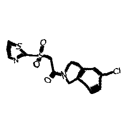 O=C(CS(=O)(=O)c1nccs1)N1Cc2ccc(Cl)cc2C1